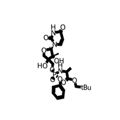 CC(NP(=O)(OCC1(O)CO[C@@H](n2ccc(=O)[nH]c2=O)[C@]1(C)O)Oc1ccccc1)C(=O)OCC(C)(C)C